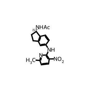 CC(=O)N[C@H]1CCc2cc(Nc3nc(C)ccc3[N+](=O)[O-])ccc21